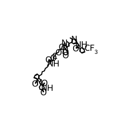 Cc1ncc(NC(=O)c2cccc(C(F)(F)F)c2)cc1-c1cnc(OCCOCCOCC(=O)NCCCCCCc2cccc3c2CN(C2CCC(=O)NC2=O)C3=O)c(N2CCOCC2)c1